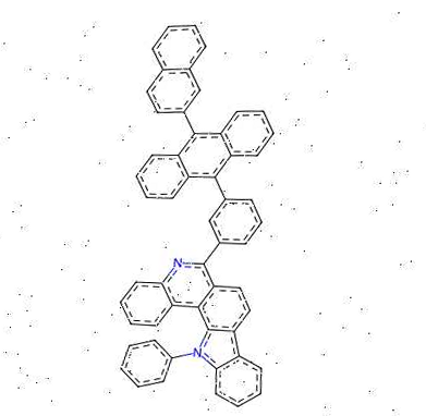 c1ccc(-n2c3ccccc3c3ccc4c(-c5cccc(-c6c7ccccc7c(-c7ccc8ccccc8c7)c7ccccc67)c5)nc5ccccc5c4c32)cc1